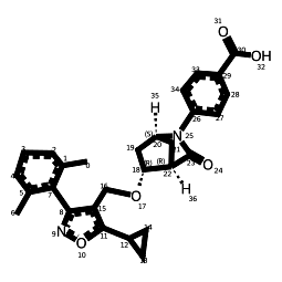 Cc1cccc(C)c1-c1noc(C2CC2)c1CO[C@@H]1C[C@@H]2C[C@H]1C(=O)N2c1ccc(C(=O)O)cc1